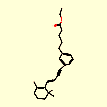 CCOC(=O)CCCCc1cccc(C#CC=CC2=C(C)CCCC2(C)C)c1